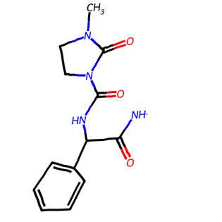 CN1CCN(C(=O)NC(C([NH])=O)c2ccccc2)C1=O